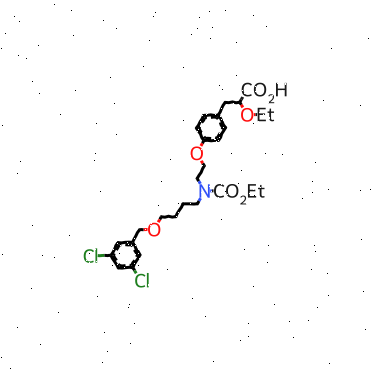 CCOC(=O)N(CCCCOCc1cc(Cl)cc(Cl)c1)CCOc1ccc(CC(OCC)C(=O)O)cc1